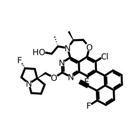 C#Cc1c(F)ccc2cccc(-c3c(Cl)c4c5c(nc(OC[C@@]67CCCN6C[C@H](F)C7)nc5c3F)N([C@@H](C)CO)[C@@H](C)CO4)c12